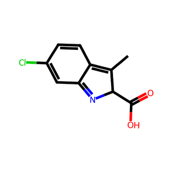 CC1=c2ccc(Cl)cc2=NC1C(=O)O